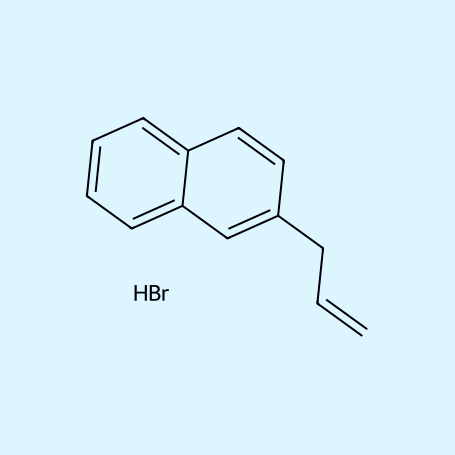 Br.C=CCc1ccc2ccccc2c1